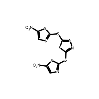 O=[N+]([O-])c1cnc(Sc2nnc(Sc3ncc([N+](=O)[O-])s3)s2)s1